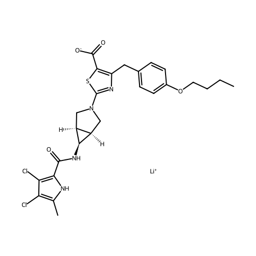 CCCCOc1ccc(Cc2nc(N3C[C@@H]4[C@H](C3)[C@@H]4NC(=O)c3[nH]c(C)c(Cl)c3Cl)sc2C(=O)[O-])cc1.[Li+]